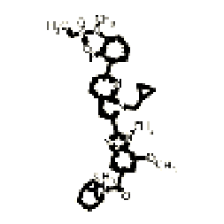 C=CS(=O)(=O)N(C)c1cccc(-c2ccc3cc(-c4nc5cc(C(=O)N6CC7CCC6[C@@H]7C)cc(OC)c5n4C)n(CC4CC4)c3n2)c1F